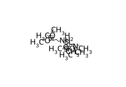 CCO[Si](C)(CCCNC[SiH2]C(=CN(CC)CC)[Si](C)(OCC)OCC)OCC